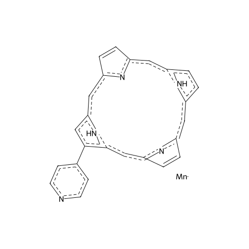 C1=Cc2cc3cc(-c4ccncc4)c(cc4nc(cc5ccc(cc1n2)[nH]5)C=C4)[nH]3.[Mn]